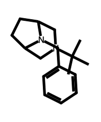 CC(C)(C)N1CC2CCC(C1)N2Cc1ccccc1